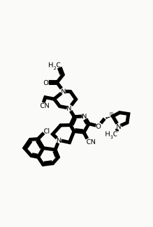 C=CC(=O)N1CCN(c2nc(OC[C@@H]3CCCN3C)c(C#N)c3c2CCN(c2cccc4cccc(Cl)c24)C3)CC1CC#N